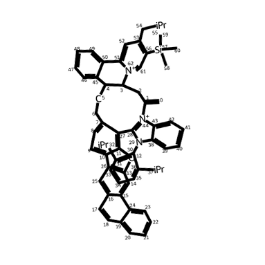 C=C1CC2C(CCc3ccc4c(oc5cc6c(ccc7ccccc76)cc54)c3-c3n(-c4c(C(C)C)cccc4C(C)C)c4ccccc4[n+]31)c1ccccc1-c1cc(CC(C)C)c([Si](C)(C)C)c[n+]12